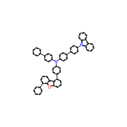 c1ccc(-c2ccc(N(c3ccc(-c4ccc(-n5c6ccccc6c6ccccc65)cc4)cc3)c3ccc(-c4cccc5oc6c(-c7ccccc7)cccc6c45)cc3)cc2)cc1